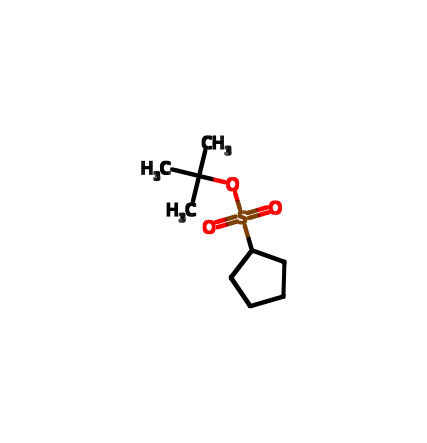 CC(C)(C)OS(=O)(=O)C1CCCC1